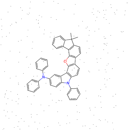 CC1(C)c2ccccc2-c2c1ccc1c2oc2c1ccc1c2c2cc(N(c3ccccc3)c3ccccc3)ccc2n1-c1ccccc1